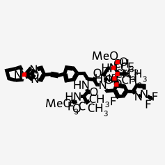 COC(=O)NC(C(=O)NC(Cc1ccc(C#Cc2cnc(N3CC4CCC(C3)N4C3COC3)nc2)cc1)C(CN(Cc1c(F)cc(-c2ccn(C(F)F)n2)cc1F)NC(=O)C(NC(=O)OC)C(C)(C)C(F)(F)F)OC(=O)CN(C)C)C(C)(C)C(F)(F)F